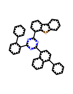 c1ccc(-c2ccccc2-c2nc(-c3ccc(-c4ccccc4)c4ccccc34)nc(-c3cccc4c3sc3ccccc34)n2)cc1